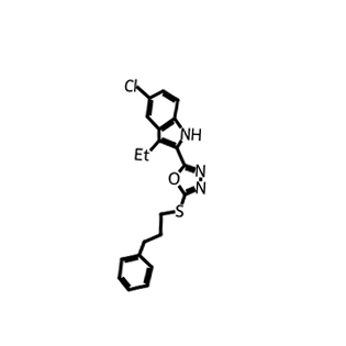 CCc1c(-c2nnc(SCCCc3ccccc3)o2)[nH]c2ccc(Cl)cc12